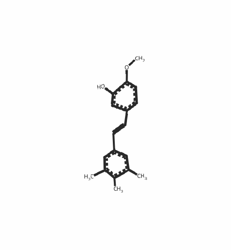 COc1ccc(C=Cc2cc(C)c(C)c(C)c2)cc1O